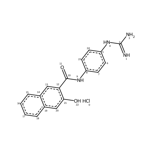 Cl.N=C(N)Nc1ccc(NC(=O)c2cc3ccccc3cc2O)cc1